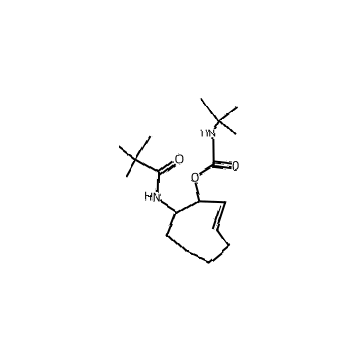 CC(C)(C)NC(=O)OC1/C=C/CCCCC1NC(=O)C(C)(C)C